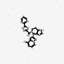 O=C(c1nnc(-c2ncccn2)o1)N1CCc2[nH]cnc2[C@H]1c1cc2c(Cl)cccn2n1